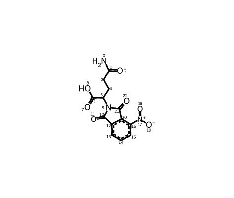 NC(=O)CCC(C(=O)O)N1C(=O)c2cccc([N+](=O)[O-])c2C1=O